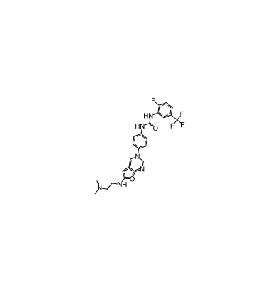 CN(C)CCNc1cc2c(o1)=NCN(c1ccc(NC(=O)Nc3cc(C(F)(F)F)ccc3F)cc1)C=2